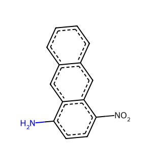 Nc1ccc([N+](=O)[O-])c2cc3ccccc3cc12